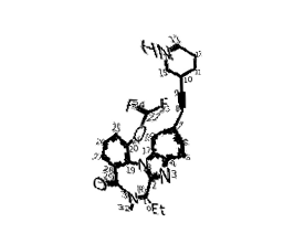 CC[C@@H]1c2nc3ccc(C#CC4CCCNC4)cc3n2-c2c(OC(F)F)cccc2C(=O)N1C